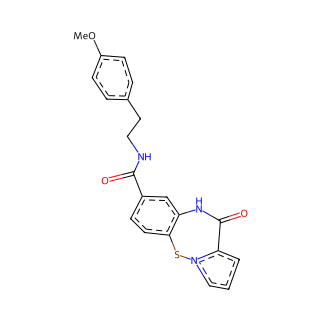 COc1ccc(CCNC(=O)c2ccc3c(c2)NC(=O)c2cccn2S3)cc1